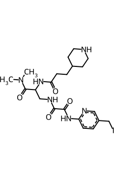 CN(C)C(=O)C(CNC(=O)C(=O)Nc1ccc(CI)cn1)NC(=O)CCC1CCNCC1